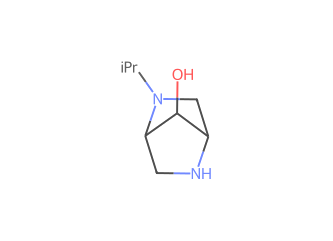 CC(C)N1CC2NCC1C2O